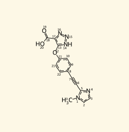 Cn1ccnc1C#Cc1ccc(Oc2[nH]nnc2C(=O)O)cc1